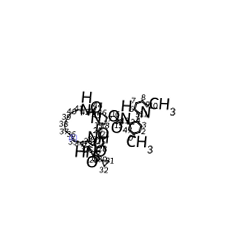 Cc1ccc(-c2cccc(C)n2)c(NC(=O)OC2CC3C(=O)NC4(C(=O)NS(=O)(=O)C5CC5)CC4/C=C/CCCCCNC(=O)N3C2)c1